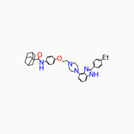 CCc1ccc(-c2nc3c(N4CCN(CCOc5ccc(NC(=O)C67CC8CC(CC(C8)C6)C7)cc5)CC4)cccc3[nH]2)cc1